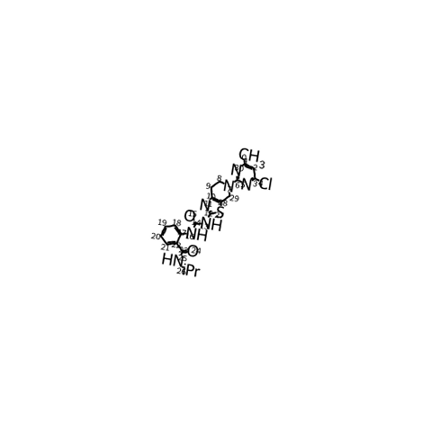 Cc1cc(Cl)nc(N2CCc3nc(NC(=O)Nc4ccccc4C(=O)NC(C)C)sc3C2)n1